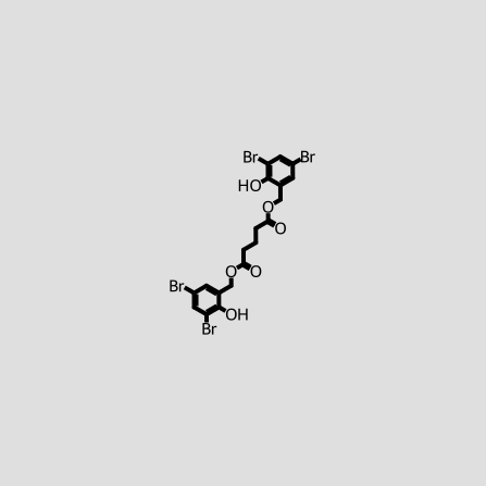 O=C(CCCC(=O)OCc1cc(Br)cc(Br)c1O)OCc1cc(Br)cc(Br)c1O